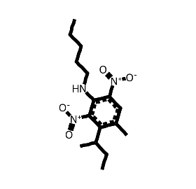 CCCCCNc1c([N+](=O)[O-])cc(C)c(C(C)CC)c1[N+](=O)[O-]